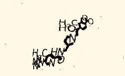 Cc1cc(C(=O)NCC2CCN(C[C@@H](O)c3ccc4c(c3C)COC4=O)C2)ncc1-n1cnnn1